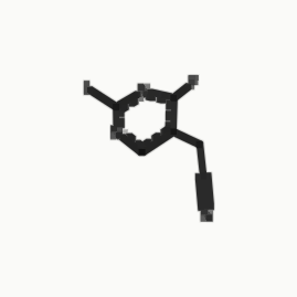 N#CCc1cnc(I)nc1F